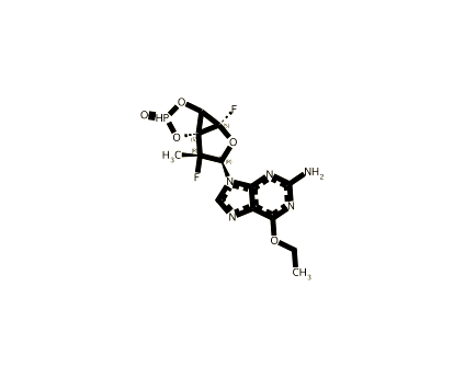 CCOc1nc(N)nc2c1ncn2[C@@H]1O[C@]2(F)C3O[PH](=O)O[C@]32[C@@]1(C)F